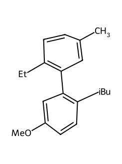 CCc1ccc(C)cc1-c1cc(OC)ccc1C(C)CC